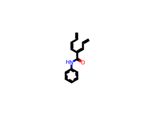 C=C/C=C\C(=C/C=C)C(=O)Nc1ccccc1